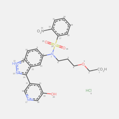 Cl.O=C(O)COCCCN(c1ccc2[nH]nc(-c3cncc(O)c3)c2c1)S(=O)(=O)c1ccccc1[N+](=O)[O-]